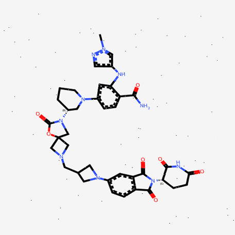 Cn1cc(Nc2cc(N3CCC[C@@H](N4CC5(CN(CC6CN(c7ccc8c(c7)C(=O)N([C@H]7CCC(=O)NC7=O)C8=O)C6)C5)OC4=O)C3)ccc2C(N)=O)cn1